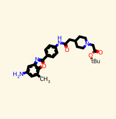 Cc1cc(N)cc2nc(-c3ccc(NC(=O)CC4CCN(CC(=O)OC(C)(C)C)CC4)cc3)oc12